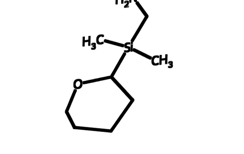 C[Si](C)(CN)C1CCCCO1